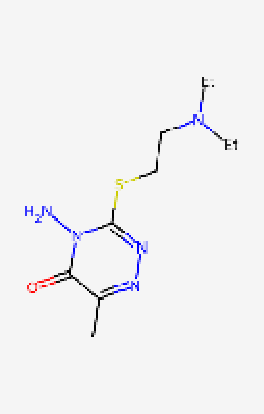 CCN(CC)CCSc1nnc(C)c(=O)n1N